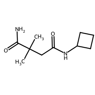 CC(C)(CC(=O)NC1CCC1)C(N)=O